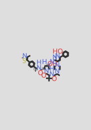 Cc1ncsc1-c1ccc([C@H](C)NC(=O)[C@@H]2C[C@@H](O)CN2C(=O)C(NC(=O)C(C)N2CCN(c3cc(-c4ccccc4O)nnc3N)CC2)C(C)(C)C)cc1